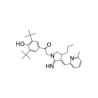 CCCC1CN(CC(=O)c2cc(C(C)(C)C)c(O)c(C(C)(C)C)c2)C(=N)/C1=C/c1cccc(C)n1